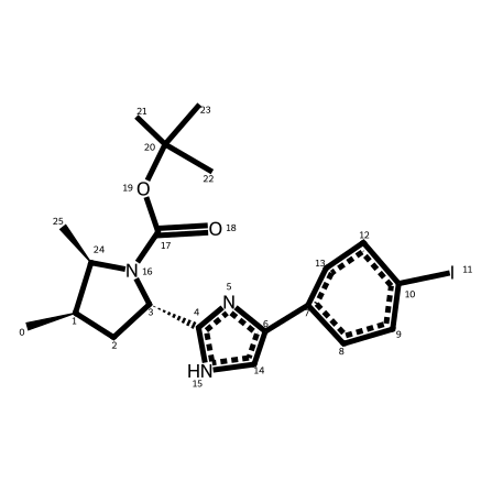 C[C@@H]1C[C@@H](c2nc(-c3ccc(I)cc3)c[nH]2)N(C(=O)OC(C)(C)C)[C@@H]1C